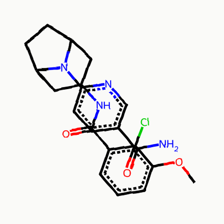 COc1cccc(C(=O)NC2CC3CCC(C2)N3c2ccc(C(N)=O)cn2)c1Cl